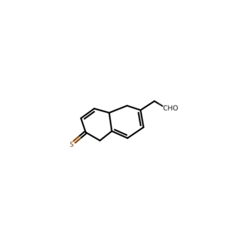 O=CCC1=CC=C2CC(=S)C=CC2C1